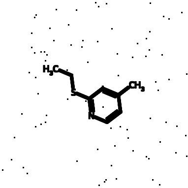 CCSc1[c]c(C)ccn1